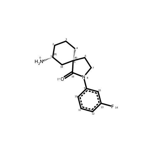 N[C@@H]1CCC[C@@]2(CCN(c3cccc(F)c3)C2=O)C1